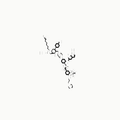 COC(=O)CCCCCCN(C)C[C@]1(C)CCC(c2ccc(Cl)cc2)=C(CN2CCN(c3ccc(C(=O)NS(=O)(=O)c4ccc(NCCCN5CCOCC5)c(S(=O)(=O)C(F)(F)F)c4)c(Oc4cnc5[nH]ccc5c4)c3)CC2)C1